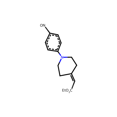 CCOC(=O)C=C1CCN(c2ccc(N=O)cc2)CC1